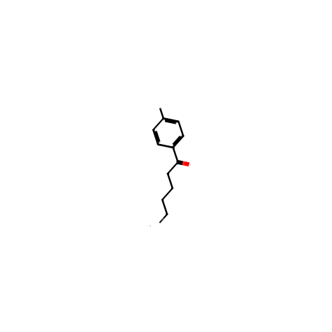 CCCCCCCCCCCC(=O)c1ccc(C)cc1